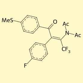 CSc1ccc(C(=O)C(=C(N(C(C)=O)C(C)=O)C(F)(F)F)c2ccc(F)cc2)cc1